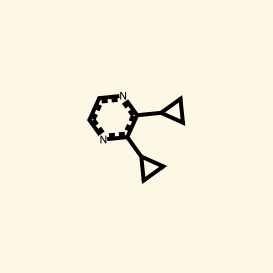 c1cnc(C2CC2)c(C2CC2)n1